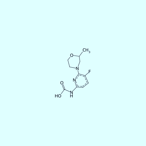 CC1CN(c2nc(NC(=O)O)ccc2F)CCO1